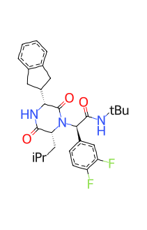 CC(C)C[C@@H]1C(=O)N[C@H](C2Cc3ccccc3C2)C(=O)N1[C@@H](C(=O)NC(C)(C)C)c1ccc(F)c(F)c1